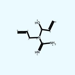 C=CCN(C(=N)N)C(O)C=C